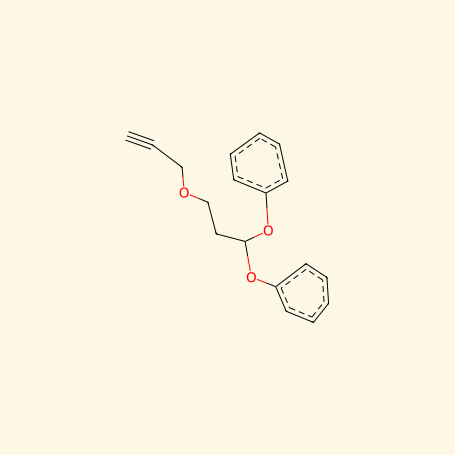 C#CCOCCC(Oc1ccccc1)Oc1ccccc1